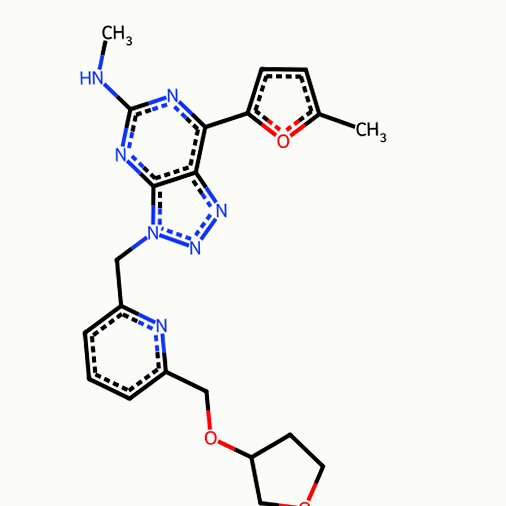 CNc1nc(-c2ccc(C)o2)c2nnn(Cc3cccc(COC4CCOC4)n3)c2n1